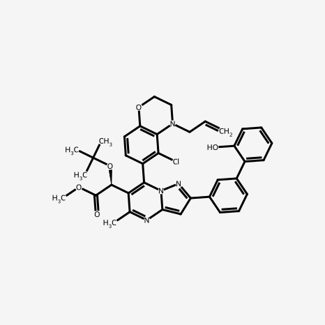 C=CCN1CCOc2ccc(-c3c([C@H](OC(C)(C)C)C(=O)OC)c(C)nc4cc(-c5cccc(-c6ccccc6O)c5)nn34)c(Cl)c21